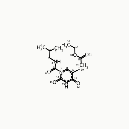 CC(C)CNC(=O)n1cc(F)c(=O)[nH]c1=O.CCOC(C)=O